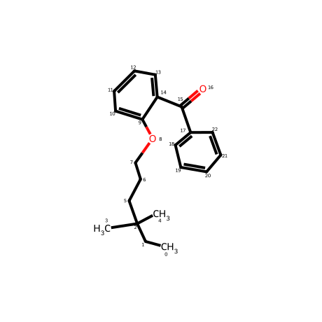 CCC(C)(C)CCCOc1ccccc1C(=O)c1ccccc1